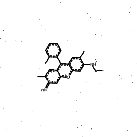 CCNc1cc2oc3cc(=N)c(C)cc-3c(-c3ccccc3C)c2cc1C